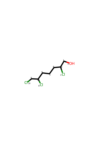 OCC(Cl)CCCC(Cl)CCl